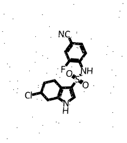 N#Cc1ccc(NS(=O)(=O)c2c[nH]c3c2CCC(Cl)C3)c(F)c1